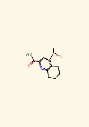 COC(=O)c1cc(C(C)O)c2c(n1)CCCC2